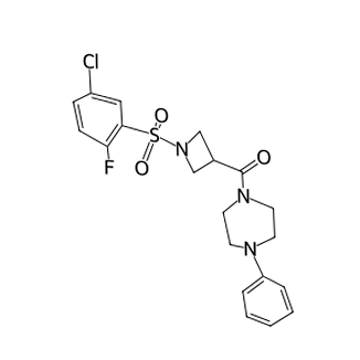 O=C(C1CN(S(=O)(=O)c2cc(Cl)ccc2F)C1)N1CCN(c2ccccc2)CC1